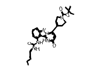 CCCCNC(=O)Nc1cccc2nn3c(C4CCN(C(=O)OC(C)(C)C)CC4)cc(=O)[nH]c3c12